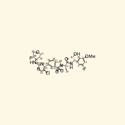 COc1cc(F)cc([C@@H](CO)NC(=O)[C@@H](C)N2Cc3ccc(-c4nc(N[C@@H]5CCOC[C@H]5F)ncc4Cl)cc3S2(=O)=O)c1